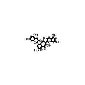 O=c1c(O)c(C2Oc3cc(O)cc(O)c3CC2O)ccc2c([C@H]3Oc4cc(O)cc(O)c4C[C@H]3O)cc(O)c(O)c12